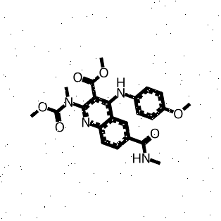 CNC(=O)c1ccc2nc(N(C)C(=O)OC)c(C(=O)OC)c(Nc3ccc(OC)cc3)c2c1